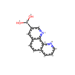 OB(O)c1cnc2c(ccc3cccnc32)c1